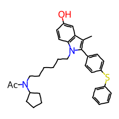 CC(=O)N(CCCCCCn1c(-c2ccc(Sc3ccccc3)cc2)c(C)c2cc(O)ccc21)C1CCCC1